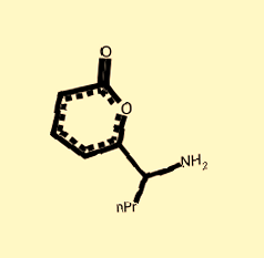 CCCC(N)c1cccc(=O)o1